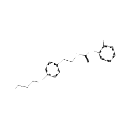 CC(C)c1ccccc1OC(=O)NCCc1ccc(OCCCF)cc1